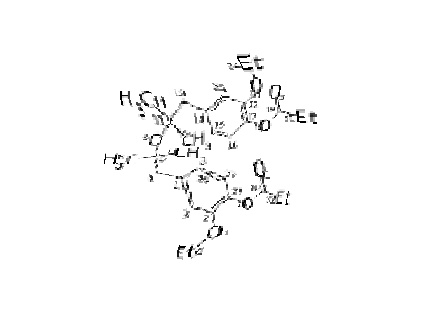 CCOc1cc(CC(C)(C)OC(C)(C)Cc2ccc(OC(=O)CC)c(OCC)c2)ccc1OC(=O)CC